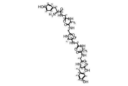 C[C@H](NC(=O)CNC(=O)[C@H](C)NC(=O)CNC(=O)[C@@H](N)Cc1ccc(O)cc1)C(=O)NCC(=O)N[C@@H](C)C(=O)NCC(=O)N[C@@H](Cc1ccc(O)cc1)C(=O)O